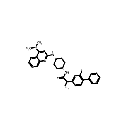 CC(C(=O)N[C@H]1CC[C@@H](Nc2cc(N(C)C)c3ccccc3n2)CC1)c1ccc(-c2ccccc2)c(F)c1